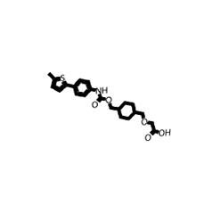 Cc1ccc(-c2ccc(NC(=O)OCC3CCC(COCC(=O)O)CC3)cc2)s1